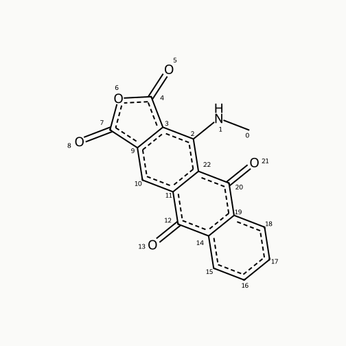 CNc1c2c(=O)oc(=O)c2cc2c(=O)c3ccccc3c(=O)c12